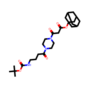 CC(C)(C)OC(=O)NCCCC(=O)N1CCN(C(=O)CC(=O)OC23CC4CC(CC(C4)C2)C3)CC1